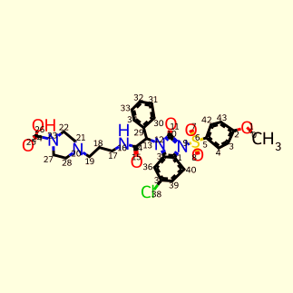 COc1ccc(S(=O)(=O)n2c(=O)n(C(C(=O)NCCCN3CCN(C(=O)O)CC3)c3ccccc3)c3cc(Cl)ccc32)cc1